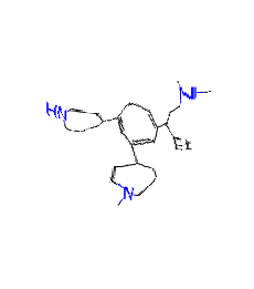 CCC(CCN(C)C)C1=CCC(C2CCNCC2)=CC(C2CCCN(C)CC2)=C1